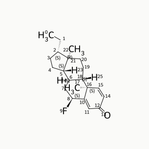 CC[C@H]1CC[C@H]2[C@@H]3C[C@H](F)C4=CC(=O)C=C[C@]4(C)[C@H]3CC[C@]12C